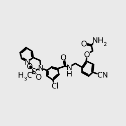 CS(=O)(=O)N(Cc1ccccn1)c1cc(Cl)cc(C(=O)NCc2ccc(C#N)cc2OCC(N)=O)c1